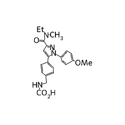 CCN(C)C(=O)c1cc(-c2ccc(CNC(=O)O)cc2)n(-c2ccc(OC)cc2)n1